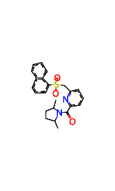 CC1CCC(C)N1C(=O)c1cccc(CS(=O)(=O)c2cccc3ccccc23)n1